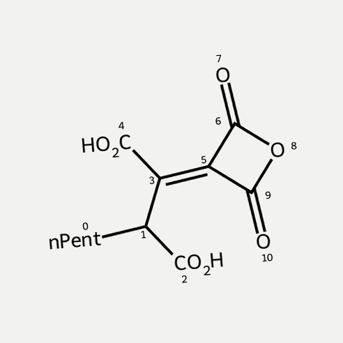 CCCCCC(C(=O)O)C(C(=O)O)=C1C(=O)OC1=O